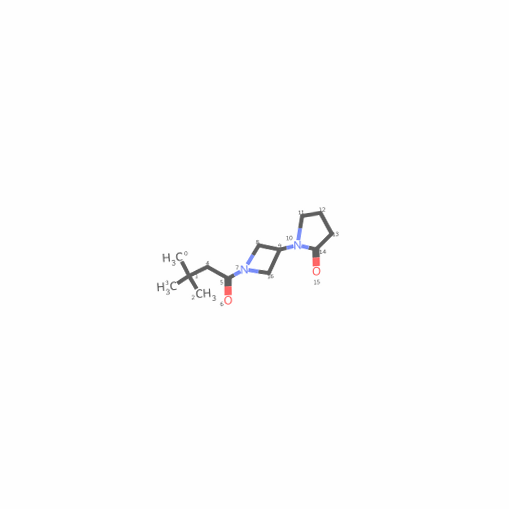 CC(C)(C)CC(=O)N1CC(N2CCCC2=O)C1